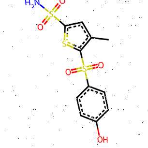 Cc1cc(S(N)(=O)=O)sc1S(=O)(=O)c1ccc(O)cc1